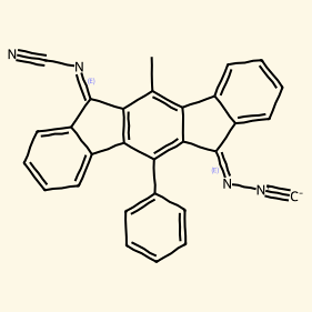 [C-]#[N+]/N=c1\c2ccccc2c2c(C)c3/c(=N/C#N)c4ccccc4c3c(-c3ccccc3)c12